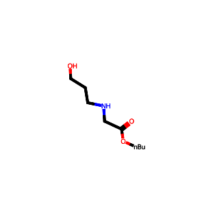 CCCCOC(=O)CNCCCO